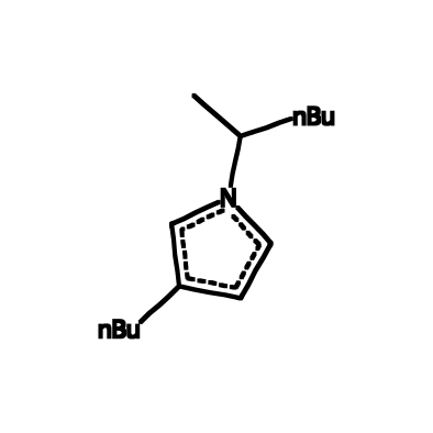 CCCCc1ccn(C(C)CCCC)c1